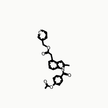 CC(=O)Oc1ccc(C(=O)n2c(C)cc3c(CC(=O)OCc4ccccc4)cccc32)cc1